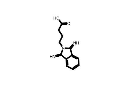 N=C1c2ccccc2C(=N)N1CCCC(=O)O